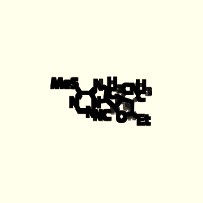 CC[C@H]1O[C@@](C#N)(c2cnc3c(SC)ncnn23)[C@](C)(C#N)[C@@H]1C